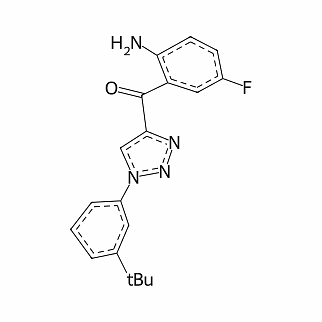 CC(C)(C)c1cccc(-n2cc(C(=O)c3cc(F)ccc3N)nn2)c1